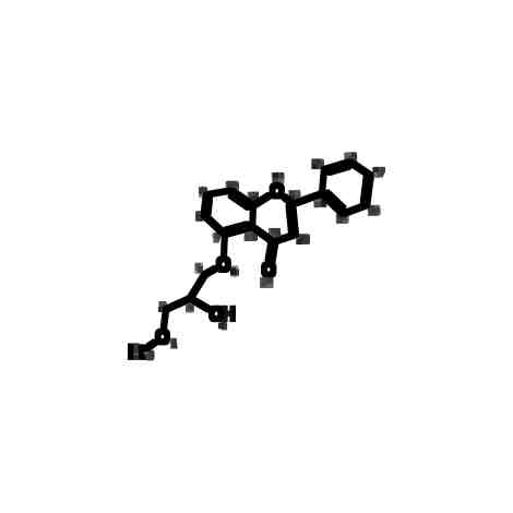 CCOCC(O)COc1cccc2oc(-c3ccccc3)cc(=O)c12